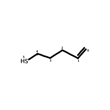 C=CCC[CH]S